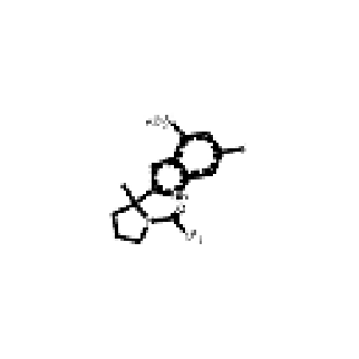 CC1(c2cc3c(C(=O)O)cc(F)cc3[nH]2)CCCN1C(=O)C(F)(F)F